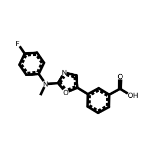 CN(c1ccc(F)cc1)c1ncc(-c2cccc(C(=O)O)c2)o1